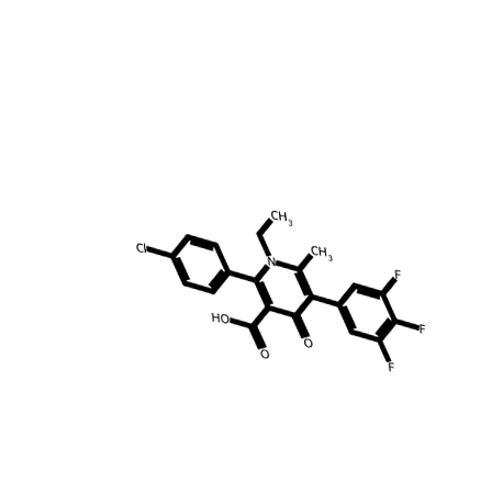 CCn1c(C)c(-c2cc(F)c(F)c(F)c2)c(=O)c(C(=O)O)c1-c1ccc(Cl)cc1